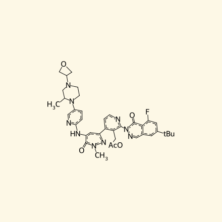 CC(=O)OCc1c(-c2cc(Nc3ccc(N4CCN(C5COC5)CC4C)cn3)c(=O)n(C)n2)ccnc1-n1ncc2cc(C(C)(C)C)cc(F)c2c1=O